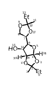 CCC1(C)O[C@H]2O[C@H]([C@H]3COC(C)(CC)O3)[C@H](O)[C@H]2O1